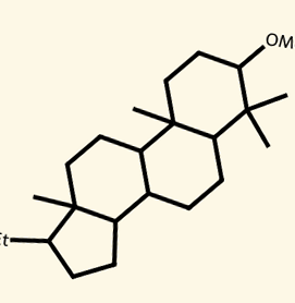 CCC1CCC2C3CCC4C(C)(C)C(OC)CCC4(C)C3CCC12C